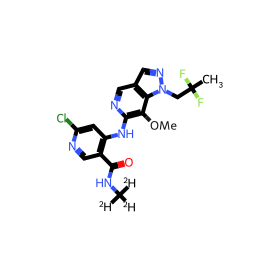 [2H]C([2H])([2H])NC(=O)c1cnc(Cl)cc1Nc1ncc2cnn(CC(C)(F)F)c2c1OC